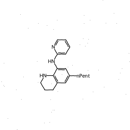 CCCCCc1cc2c(c(Nc3ccccn3)c1)NCCC2